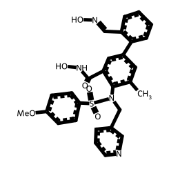 COc1ccc(S(=O)(=O)N(Cc2cccnc2)c2c(C)cc(-c3ccccc3C=NO)cc2C(=O)NO)cc1